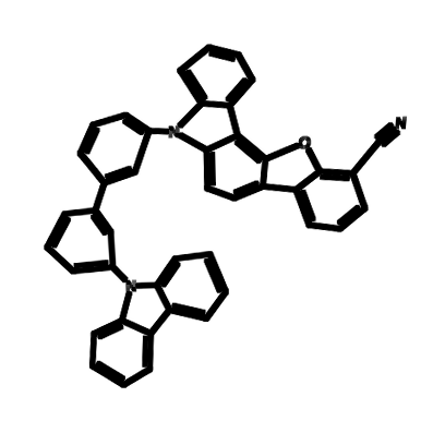 N#Cc1cccc2c1oc1c2ccc2c1c1ccccc1n2-c1cccc(-c2cccc(-n3c4ccccc4c4ccccc43)c2)c1